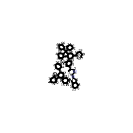 C=C(/C=C\C=C1/Cc2ccccc2N1c1ccccc1)c1cccc(N(c2cccc(-c3cccc4c3oc3ccccc34)c2)c2cccc3c2-c2ccc(-c4ccccc4)cc2C3(c2ccccc2)c2ccccc2)c1